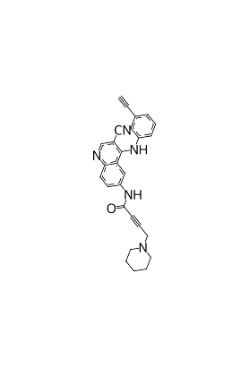 C#Cc1cccc(Nc2c(C#N)cnc3ccc(NC(=O)C#CCN4CCCCC4)cc23)c1